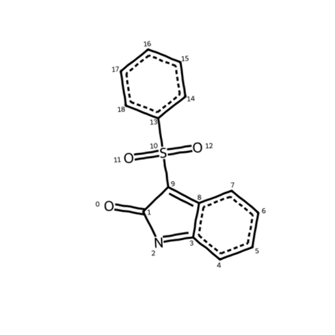 O=C1N=c2ccccc2=C1S(=O)(=O)c1ccccc1